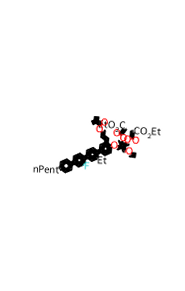 C=COCC(COC(=O)CC(=O)OCC)(COC(=O)CC(=O)OCC)COc1ccc(-c2ccc(-c3ccc(C4CCC(CCCCC)CC4)cc3F)cc2CC)cc1CCCOC(=O)C(=C)C